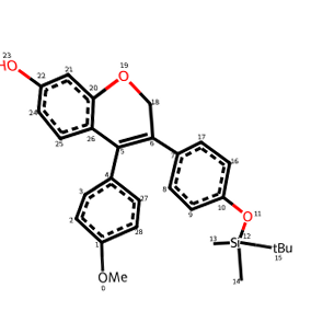 COc1ccc(C2=C(c3ccc(O[Si](C)(C)C(C)(C)C)cc3)COc3cc(O)ccc32)cc1